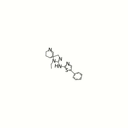 CCN1C(Nc2ncc(-c3ccccc3)s2)=NCC12CN1CCC2CC1